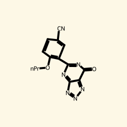 CCCOc1ccc(C#N)cc1C1=NC(=O)C2=NN=NC2=N1